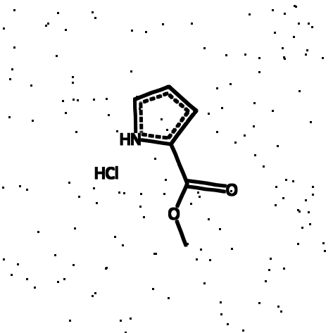 COC(=O)c1ccc[nH]1.Cl